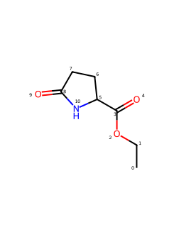 CCOC(=O)C1CCC(=O)N1